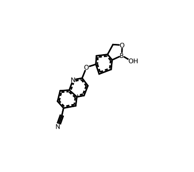 N#Cc1ccc2nc(Oc3ccc4c(c3)COB4O)ccc2c1